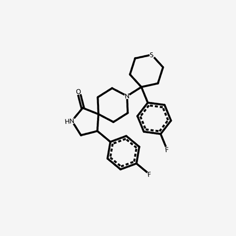 O=C1NCC(c2ccc(F)cc2)C12CCN(C1(c3ccc(F)cc3)CCSCC1)CC2